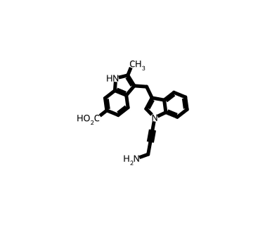 Cc1[nH]c2cc(C(=O)O)ccc2c1Cc1cn(C#CCN)c2ccccc12